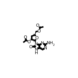 CC(=O)OC[C@@H]1C[C@@H](OC(C)=O)[C@H](n2c(=O)[nH]c3cnc(N)nc32)O1